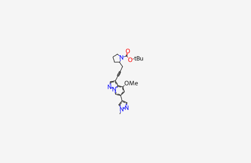 COc1cc(-c2cnn(C)c2)cn2ncc(C#CCC3CCCN3C(=O)OC(C)(C)C)c12